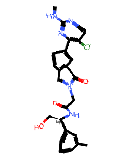 CNc1ncc(Cl)c(-c2ccc3c(c2)C(=O)N(CC(=O)N[C@H](CO)c2cccc(C)c2)C3)n1